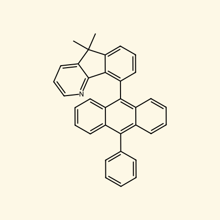 CC1(C)c2cccnc2-c2c(-c3c4ccccc4c(-c4ccccc4)c4ccccc34)cccc21